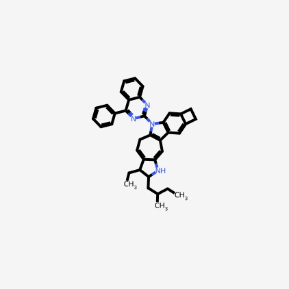 CCC(C)CC1NC2=Cc3c(n(-c4nc(-c5ccccc5)c5ccccc5n4)c4cc5c(cc34)CC5)CC=C2C1CC